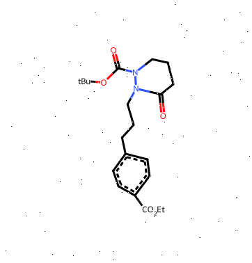 CCOC(=O)c1ccc(CCCN2C(=O)CCCN2C(=O)OC(C)(C)C)cc1